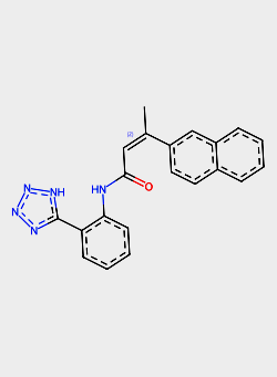 C/C(=C/C(=O)Nc1ccccc1-c1nnn[nH]1)c1ccc2ccccc2c1